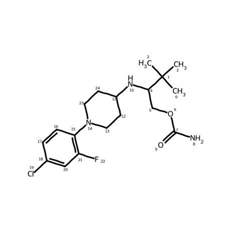 CC(C)(C)C(COC(N)=O)NC1CCN(c2ccc(Cl)cc2F)CC1